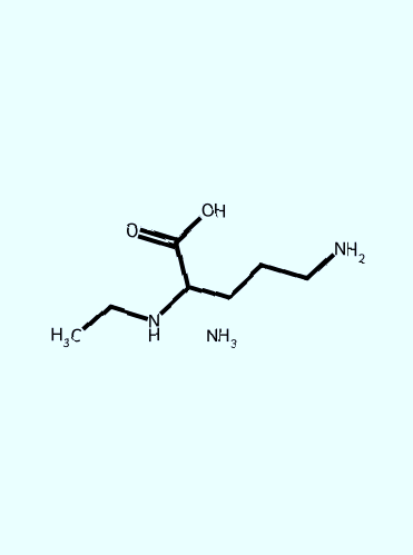 CCNC(CCCN)C(=O)O.N